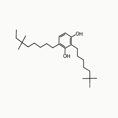 CCC(C)(C)CCCCCc1ccc(O)c(CCCCCC(C)(C)I)c1O